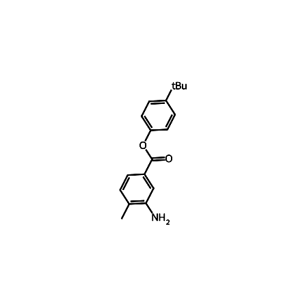 Cc1ccc(C(=O)Oc2ccc(C(C)(C)C)cc2)cc1N